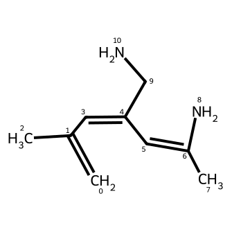 C=C(C)/C=C(\C=C(\C)N)CN